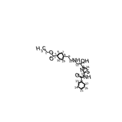 CCOC(=O)c1ccc(CCNCC(O)c2csc(NC(=O)c3ccccc3)n2)cc1